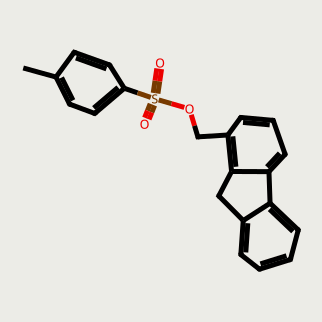 Cc1ccc(S(=O)(=O)OCc2cccc3c2Cc2ccccc2-3)cc1